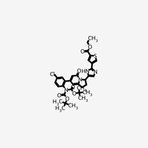 CCOC(=O)c1cc(-c2ncc(C3CCc4cc(-c5cc(Cl)ccc5N(C(=O)OC(C)(C)C)C(=O)OC(C)(C)C)cc(=O)n43)[nH]2)cs1